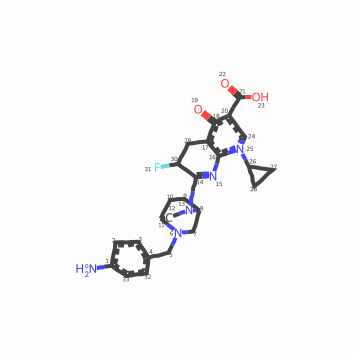 Nc1ccc(CN2CC3CCC2CN3C2=Nc3c(c(=O)c(C(=O)O)cn3C3CC3)CC2F)cc1